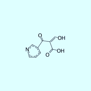 O=C(O)/C(=C\O)C(=O)c1cccnc1